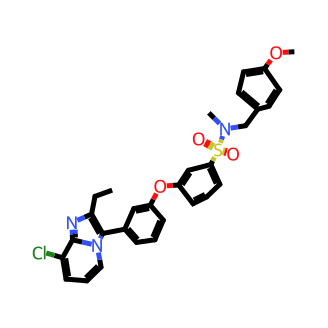 CCc1nc2c(Cl)cccn2c1-c1cccc(Oc2cccc(S(=O)(=O)N(C)Cc3ccc(OC)cc3)c2)c1